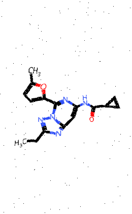 CCc1nc2cc(NC(=O)C3CC3)nc(-c3ccc(C)o3)n2n1